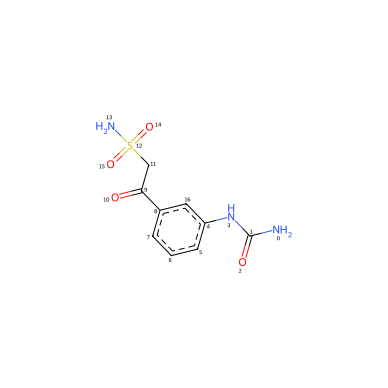 NC(=O)Nc1cccc(C(=O)CS(N)(=O)=O)c1